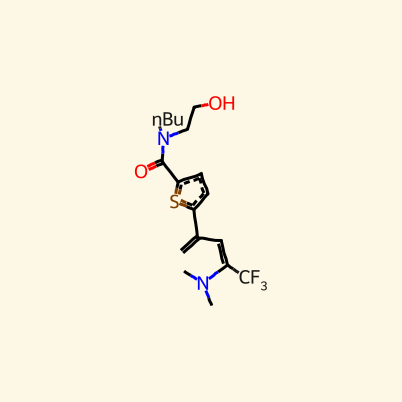 C=C(/C=C(\N(C)C)C(F)(F)F)c1ccc(C(=O)N(CCO)CCCC)s1